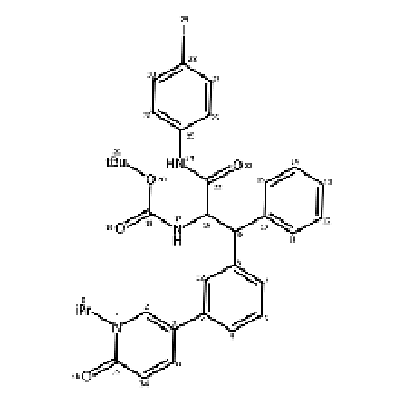 CC(C)n1cc(-c2cccc(C(c3ccccc3)C(NC(=O)OC(C)(C)C)C(=O)Nc3ccc(I)cc3)c2)ccc1=O